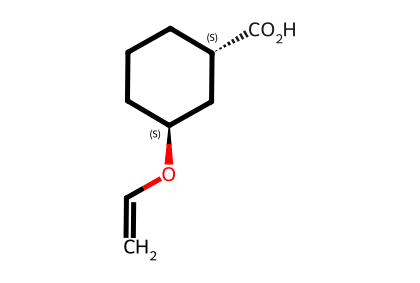 C=CO[C@H]1CCC[C@H](C(=O)O)C1